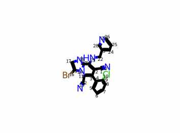 N#Cc1c(-c2ccccc2Cl)c(C#N)n2c(Br)cnc2c1NCc1cccnc1